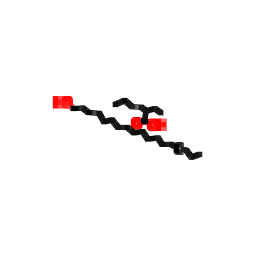 CCCCC(CC)C(=O)O.CCCCCCCCCCCCCCCCCCO